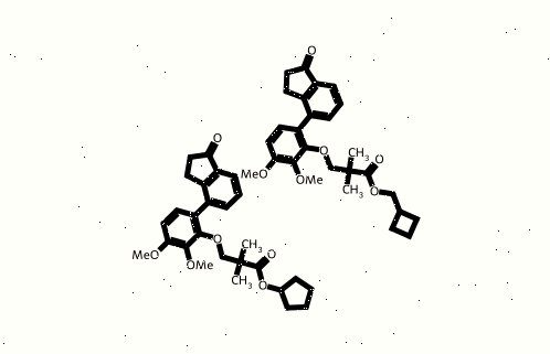 COc1ccc(-c2cccc3c2CCC3=O)c(OCC(C)(C)C(=O)OC2CCCC2)c1OC.COc1ccc(-c2cccc3c2CCC3=O)c(OCC(C)(C)C(=O)OCC2CCC2)c1OC